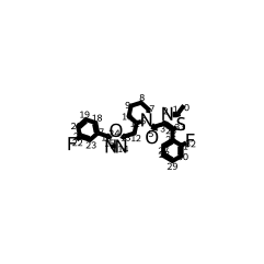 Cc1nc(C(=O)N2CCCCC2Cc2nnc(-c3cccc(F)c3)o2)c(-c2ccccc2F)s1